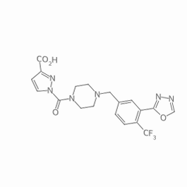 O=C(O)c1ccn(C(=O)N2CCN(Cc3ccc(C(F)(F)F)c(-c4nnco4)c3)CC2)n1